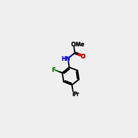 COC(=O)Nc1ccc(C(C)C)cc1F